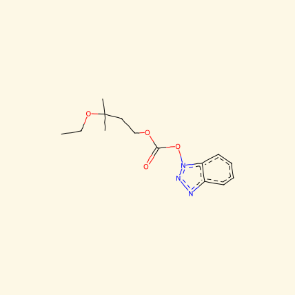 CCOC(C)(C)CCOC(=O)On1nnc2ccccc21